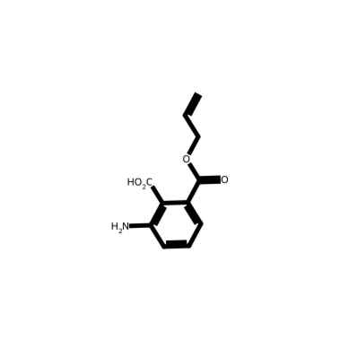 C=CCOC(=O)c1cccc(N)c1C(=O)O